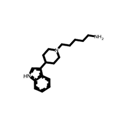 NCCCCCN1CCC(c2c[nH]c3ccccc23)CC1